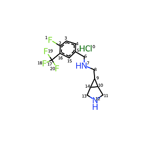 Cl.Fc1ccc(CNCC2C3CNCC23)cc1C(F)(F)F